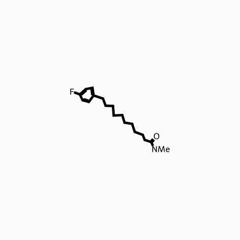 CNC(=O)CCCCCCCCCCc1ccc(F)cc1